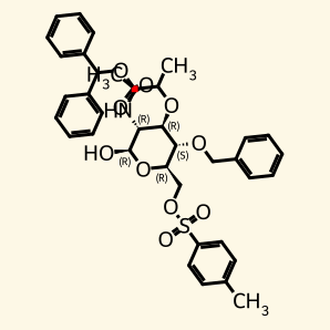 CC(=O)N[C@@H]1[C@@H](OC(C)C(=O)OC(c2ccccc2)c2ccccc2)[C@H](OCc2ccccc2)[C@@H](COS(=O)(=O)c2ccc(C)cc2)O[C@H]1O